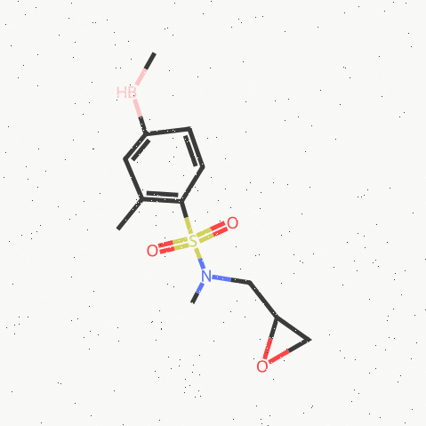 CBc1ccc(S(=O)(=O)N(C)CC2CO2)c(C)c1